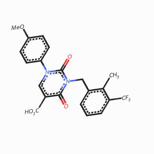 COc1ccc(-n2cc(C(=O)O)c(=O)n(Cc3cccc(C(F)(F)F)c3C)c2=O)cc1